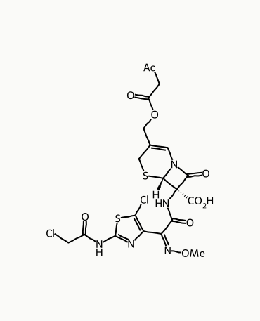 CO/N=C(\C(=O)N[C@]1(C(=O)O)C(=O)N2C=C(COC(=O)CC(C)=O)CS[C@H]21)c1nc(NC(=O)CCl)sc1Cl